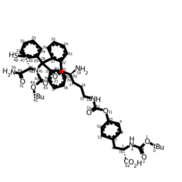 CC(C)(C)OC(=O)N[C@@H](Cc1ccc(OC(=O)NCCC[C@H](N)C(=O)c2ccccc2C(c2ccccc2)(c2ccccc2)N(C(=O)OC(C)(C)C)[C@@H](CS)C(N)=O)cc1)C(=O)O